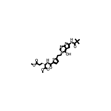 COC(=O)CC[C@H](NC(=O)c1ccc(CCn2cnc3nc(NC(=O)C(C)(C)C)cc-3c2O)s1)C(=O)OC